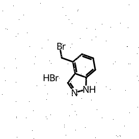 Br.BrCc1cccc2[nH]ncc12